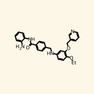 CCOc1ccc(NCc2ccc(C(=O)Nc3ccccc3N)cc2)cc1OCc1cccnc1